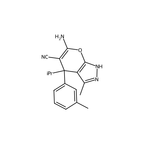 Cc1cccc(C2(C(C)C)C(C#N)=C(N)Oc3[nH]nc(C)c32)c1